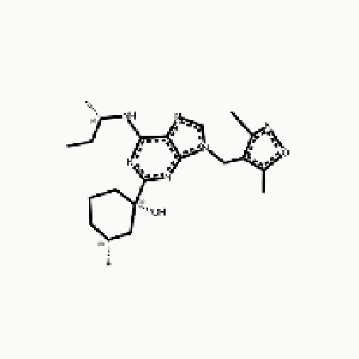 CC[C@H](C)Nc1nc([C@]2(O)CCC[C@@H](C)C2)nc2c1ncn2Cc1c(C)noc1C